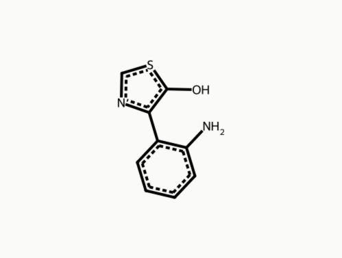 Nc1ccccc1-c1ncsc1O